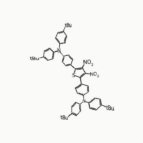 CC(C)(C)c1ccc(N(c2ccc(-c3sc(-c4ccc(N(c5ccc(C(C)(C)C)cc5)c5ccc(C(C)(C)C)cc5)cc4)c([N+](=O)[O-])c3[N+](=O)[O-])cc2)c2ccc(C(C)(C)C)cc2)cc1